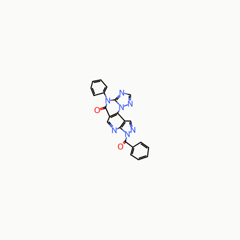 O=C(c1ccccc1)n1ncc2c1ncc1c(=O)n(-c3ccccc3)c3ncnn3c12